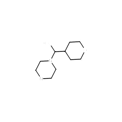 CC(C1CCOCC1)N1CC[N]CC1